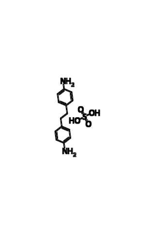 Nc1ccc(CCc2ccc(N)cc2)cc1.O=S(=O)(O)O